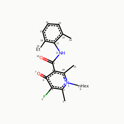 CCCCCCn1c(C)c(F)c(=O)c(C(=O)Nc2c(C)cccc2CC)c1C